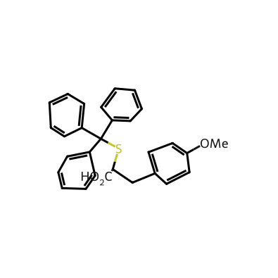 COc1ccc(CC(SC(c2ccccc2)(c2ccccc2)c2ccccc2)C(=O)O)cc1